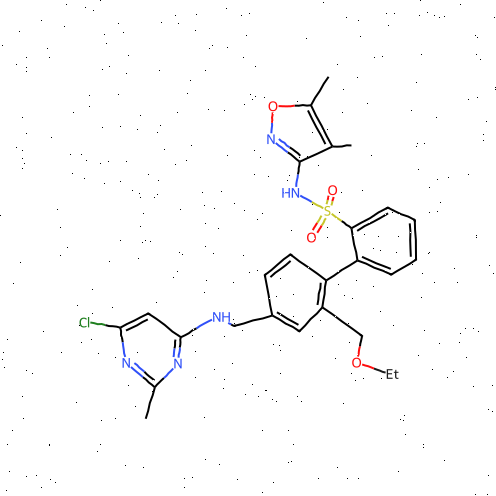 CCOCc1cc(CNc2cc(Cl)nc(C)n2)ccc1-c1ccccc1S(=O)(=O)Nc1noc(C)c1C